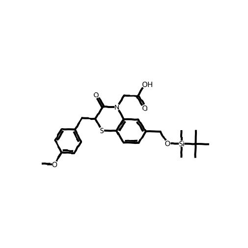 COc1ccc(CC2Sc3ccc(CO[Si](C)(C)C(C)(C)C)cc3N(CC(=O)O)C2=O)cc1